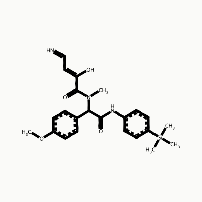 COc1ccc(C(C(=O)Nc2ccc([Si](C)(C)C)cc2)N(C)C(=O)/C(O)=C/C=N)cc1